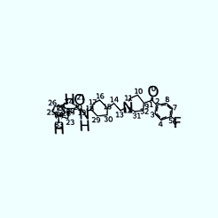 O=C(c1ccc(F)cc1)C1CCN(CCC2CCC(NC(=O)[C@@H]3C[C@@H]4CC[C@H]3C4)CC2)CC1